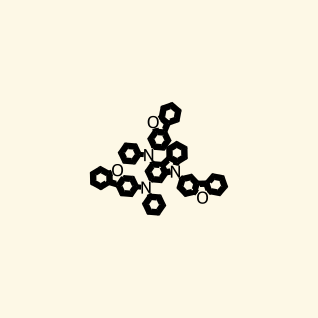 c1ccc(N(c2ccc3c(c2)oc2ccccc23)c2cc(N(c3ccccc3)c3ccc4c(c3)oc3ccccc34)c3c4ccccc4n(-c4ccc5oc6ccccc6c5c4)c3c2)cc1